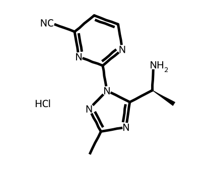 Cc1nc([C@H](C)N)n(-c2nccc(C#N)n2)n1.Cl